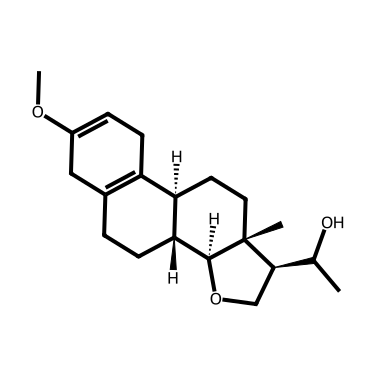 COC1=CCC2=C(CC[C@@H]3[C@@H]2CC[C@]2(C)[C@@H](C(C)O)CO[C@@H]32)C1